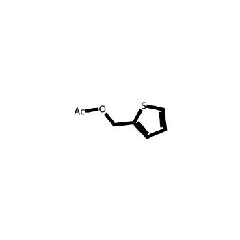 CC(=O)OCc1cccs1